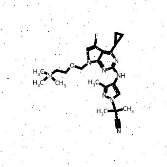 Cc1nn(C(C)(C)C#N)cc1Nc1nc(C2CC2)c2c(F)cn(COCC[Si](C)(C)C)c2n1